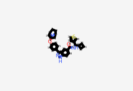 CN1C2CCC1CC(Oc1ccc(-c3n[nH]c4ccc(C(=O)NC(c5ccsc5)C5CCC5)cc34)cc1)C2